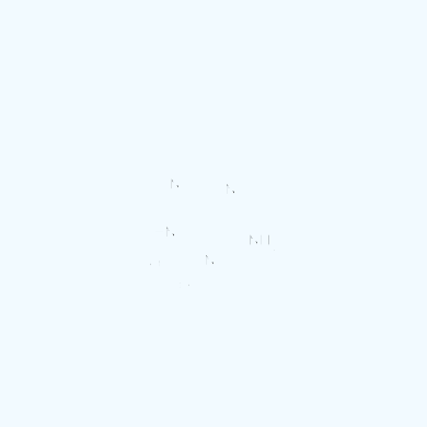 Cc1cnc2c(n1)NS(=O)(=O)N=C2N